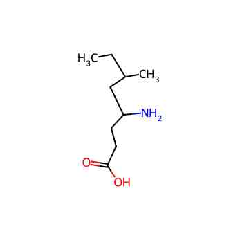 CCC(C)CC(N)CCC(=O)O